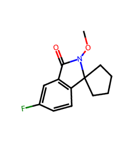 CON1C(=O)c2cc(F)ccc2C12CCCC2